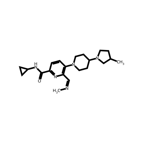 C/N=C\c1nc(C(=O)NC2CC2)ccc1N1CCC(N2CCC(C)C2)CC1